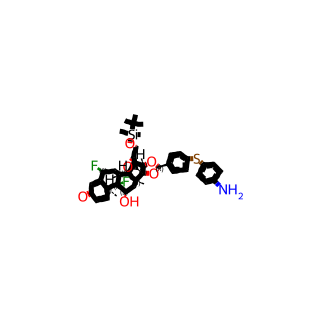 CC(C)(C)[Si](C)(C)OCC1OC1[C@@]12O[C@H](c3ccc(Sc4ccc(N)cc4)cc3)O[C@@H]1C[C@H]1[C@@H]3C[C@H](F)C4=CC(=O)C=C[C@]4(C)[C@@]3(F)[C@@H](O)C[C@@]12C